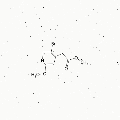 COC(=O)Cc1cc(OC)ncc1Br